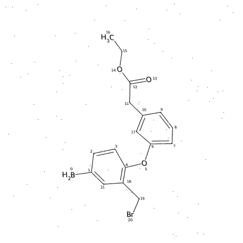 Bc1ccc(Oc2cccc(CC(=O)OCC)c2)c(CBr)c1